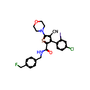 N#Cc1c(N2CCOCC2)sc(C(=O)NCc2ccc(CF)cc2)c1-c1ccc(Cl)cc1I